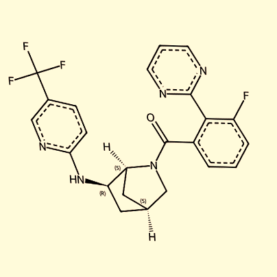 O=C(c1cccc(F)c1-c1ncccn1)N1C[C@H]2C[C@@H](Nc3ccc(C(F)(F)F)cn3)[C@@H]1C2